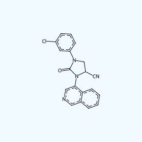 N#CC1CN(c2cccc(Cl)c2)C(=O)N1c1cncc2ccccc12